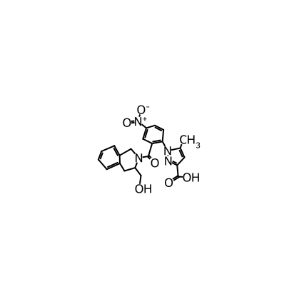 Cc1cc(C(=O)O)nn1-c1ccc([N+](=O)[O-])cc1C(=O)N1Cc2ccccc2CC1CO